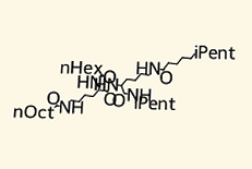 CCCCCCCCC(=O)NCCCCC(NC(=O)CCCCCC)C(=O)NC(CCCCNC(=O)CCCCC(C)CCC)C(=O)NC(C)CCC